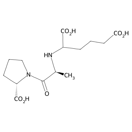 C[C@H](NC(CCCC(=O)O)C(=O)O)C(=O)N1CCC[C@H]1C(=O)O